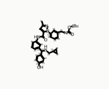 Cc1cc(C(=O)Nc2cccc(C(NCC3CC3)c3ccc(O)cc3)c2)n(-c2cccc(CNC(=O)OC(C)(C)C)c2)n1